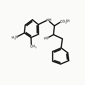 CCOC(=O)C(Nc1ccc(N)c(C)c1)C(S)Cc1ccccc1